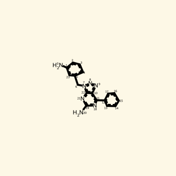 Nc1cccc(Cn2nnc3c(-c4ccccc4)nc(N)nc32)c1